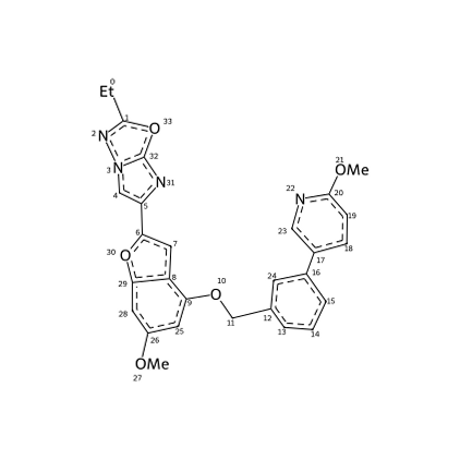 CCc1nn2cc(-c3cc4c(OCc5cccc(-c6ccc(OC)nc6)c5)cc(OC)cc4o3)nc2o1